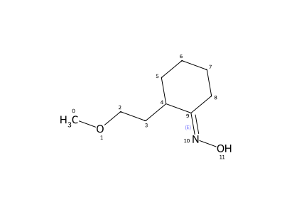 COCCC1CCCC/C1=N\O